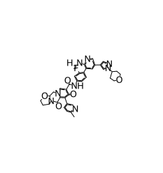 Cc1ccc(-c2c3n(cc(C(=O)Nc4ccc(-c5cc(-c6cnn(C7CCOCC7)c6)cnc5N)c(F)c4)c2=O)CC2OCCCN2C3=O)cn1